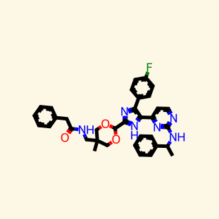 CC(Nc1nccc(-c2[nH]c(C3OCC(C)(CNC(=O)Cc4ccccc4)CO3)nc2-c2ccc(F)cc2)n1)c1ccccc1